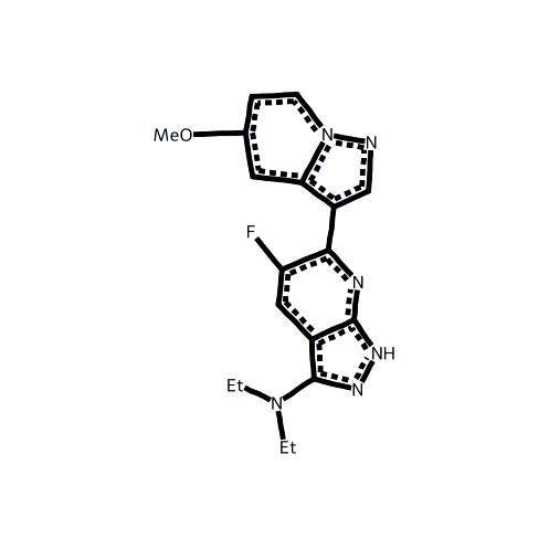 CCN(CC)c1n[nH]c2nc(-c3cnn4ccc(OC)cc34)c(F)cc12